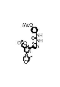 COc1ccc(NC(=O)Nc2ncc(-c3nc(CS(C)(=O)=O)cc(N4CCOC[C@@H]4C)n3)s2)cc1